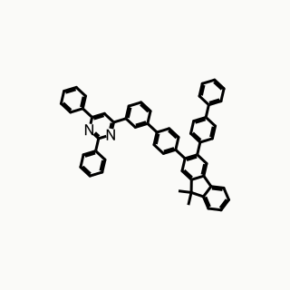 CC1(C)c2ccccc2-c2cc(-c3ccc(-c4ccccc4)cc3)c(-c3ccc(-c4cccc(-c5cc(-c6ccccc6)nc(-c6ccccc6)n5)c4)cc3)cc21